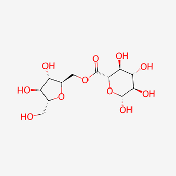 O=C(OC[C@H]1O[C@H](CO)[C@@H](O)[C@@H]1O)[C@H]1O[C@@H](O)[C@H](O)[C@@H](O)[C@@H]1O